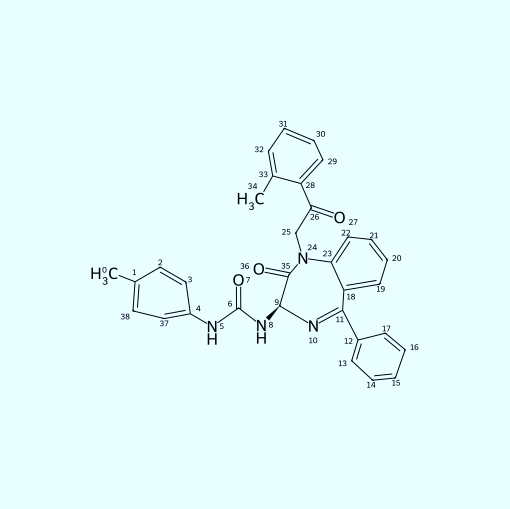 Cc1ccc(NC(=O)N[C@@H]2N=C(c3ccccc3)c3ccccc3N(CC(=O)c3ccccc3C)C2=O)cc1